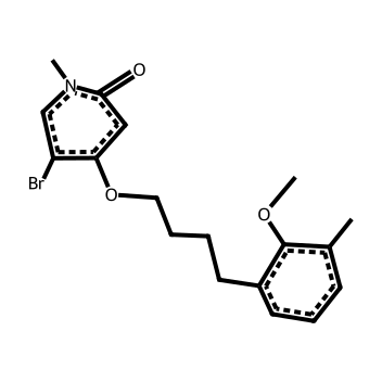 COc1c(C)cccc1CCCCOc1cc(=O)n(C)cc1Br